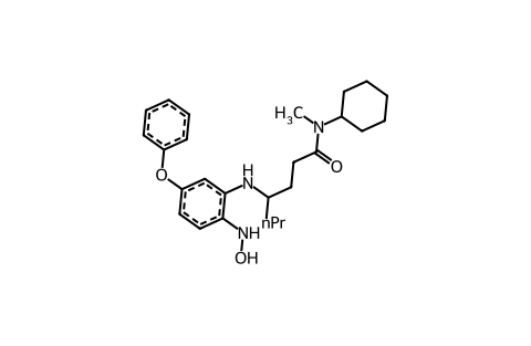 CCCC(CCC(=O)N(C)C1CCCCC1)Nc1cc(Oc2ccccc2)ccc1NO